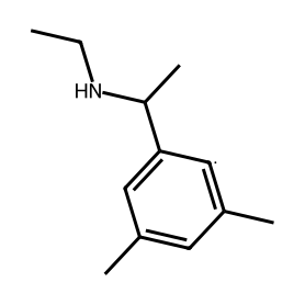 CCNC(C)c1[c]c(C)cc(C)c1